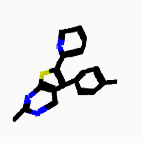 Cc1ccc(-c2c(-c3ccccn3)sc3nc(C)n[c]c23)cc1